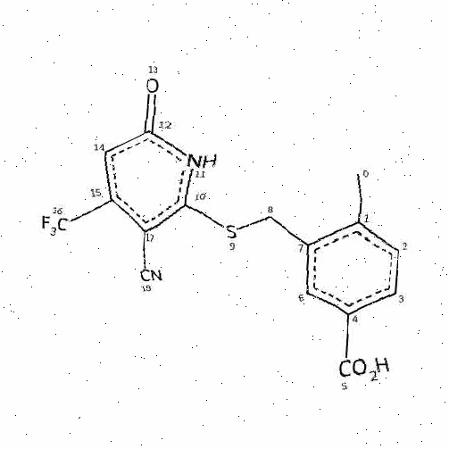 Cc1ccc(C(=O)O)cc1CSc1[nH]c(=O)cc(C(F)(F)F)c1C#N